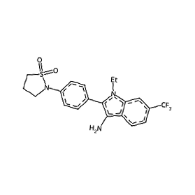 CCn1c(-c2ccc(N3CCCS3(=O)=O)cc2)c(N)c2ccc(C(F)(F)F)cc21